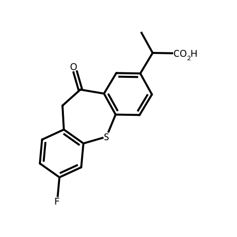 CC(C(=O)O)c1ccc2c(c1)C(=O)Cc1ccc(F)cc1S2